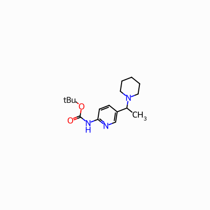 CC(c1ccc(NC(=O)OC(C)(C)C)nc1)N1CCCCC1